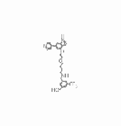 OCc1cc(CNCCCCOCCOc2cc(-c3ccnnc3)cc3[nH]ncc23)cc(C(F)(F)F)c1